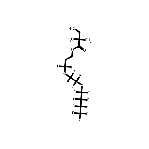 CCC(C)(C)C(=O)OCCC(F)(F)OC(F)(F)C(F)(F)OC(F)(F)C(F)(F)C(F)(F)C(F)(F)F